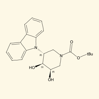 CC(C)(C)OC(=O)N1C[C@@H](O)[C@@H](O)[C@H](n2c3ccccc3c3ccccc32)C1